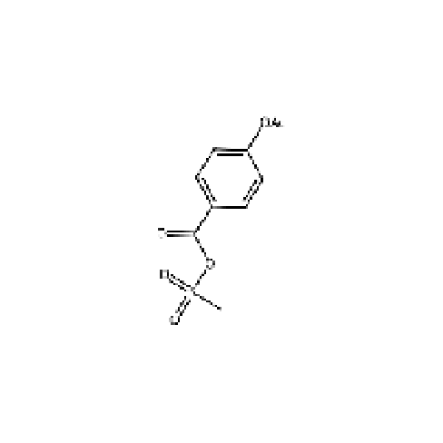 CC(=O)Oc1ccc(C(=O)OS(C)(=O)=O)cc1